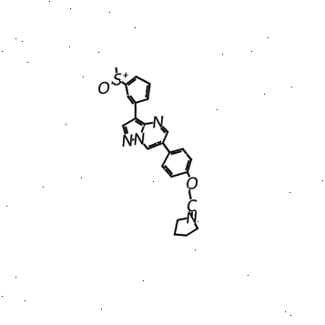 C[S+]([O-])c1cccc(-c2cnn3cc(-c4ccc(OCCN5CCCC5)cc4)cnc23)c1